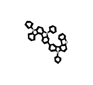 c1ccc(-n2c3ccc(-c4ccc5c6c7c8ccccc8n(-c8ccccc8)c7ccc6n(-c6ccccc6)c5c4)cc3c3c4c(ccc32)oc2ccccc24)cc1